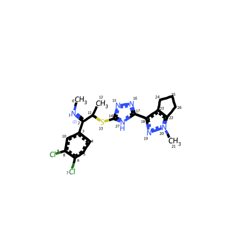 C/N=C(/c1ccc(Cl)c(Cl)c1)C(C)Sc1nnc(-c2nn(C)c3c2CCC3)[nH]1